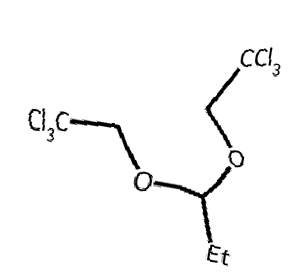 CCC(OCC(Cl)(Cl)Cl)OCC(Cl)(Cl)Cl